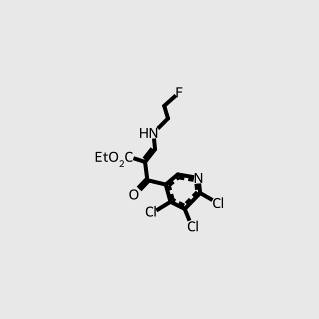 CCOC(=O)C(=CNCCF)C(=O)c1cnc(Cl)c(Cl)c1Cl